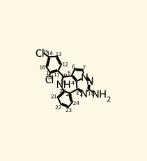 Nc1nc2c3c(ccn3n1)C(c1ccc(Cl)cc1Cl)Nc1ccccc1-2